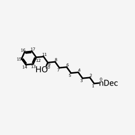 CCCCCCCCCCCCCCCCCCC(O)Cc1ccccc1